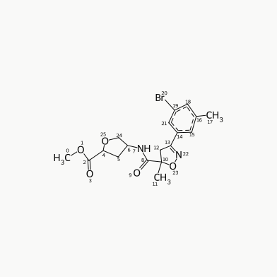 COC(=O)C1CC(NC(=O)C2(C)CC(c3cc(C)cc(Br)c3)=NO2)CO1